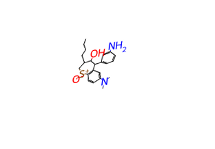 CCCCC1C[S+]([O-])c2ccc(N(C)C)cc2C(c2cccc(N)c2)C1O